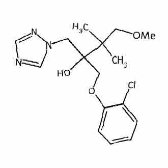 COCC(C)(C)C(O)(COc1ccccc1Cl)Cn1cncn1